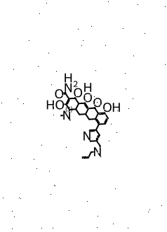 C=CCN(C)Cc1cncc(-c2ccc(O)c3c2CC2CC4C(C(=O)C(C(N)=O)=C(O)[C@H]4N(C)C)C(O)=C2C3=O)c1